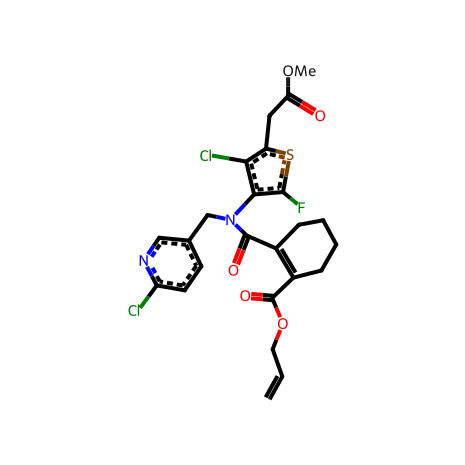 C=CCOC(=O)C1=C(C(=O)N(Cc2ccc(Cl)nc2)c2c(F)sc(CC(=O)OC)c2Cl)CCCC1